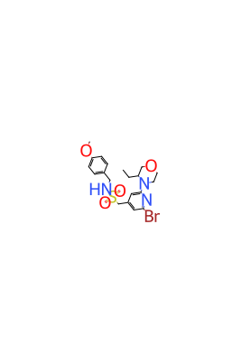 CCC1COCCN1c1cc(CS(=O)(=O)NCc2ccc(OC)cc2)cc(Br)n1